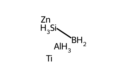 B[SiH3].[AlH3].[Ti].[Zn]